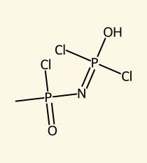 CP(=O)(Cl)N=P(O)(Cl)Cl